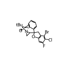 CC(C)(C)S(=O)(=O)N1CC1C1(c2ccccc2)Cc2c(cc(F)c(Cl)c2Br)O1